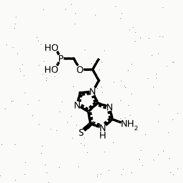 CC(Cn1cnc2c(=S)[nH]c(N)nc21)OCP(O)O